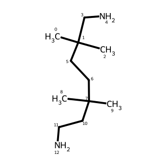 CC(C)(CN)CCC(C)(C)CCN